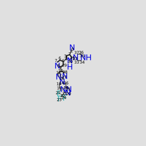 N#Cc1cc(-c2ccnc(-c3cnc(N4CCn5c(nnc5C(F)(F)F)C4)nc3)c2)[nH]c1N1CCNCC1